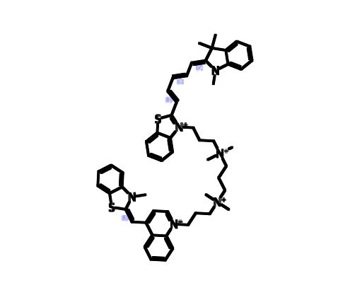 CN1\C(=C/C=C/C=C/c2sc3ccccc3[n+]2CCC[N+](C)(C)CCC[N+](C)(C)CCC[n+]2ccc(/C=C3/Sc4ccccc4N3C)c3ccccc32)C(C)(C)c2ccccc21